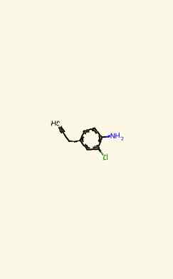 C#CCc1ccc(N)c(Cl)c1